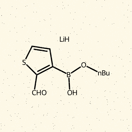 CCCCOB(O)c1ccsc1C=O.[LiH]